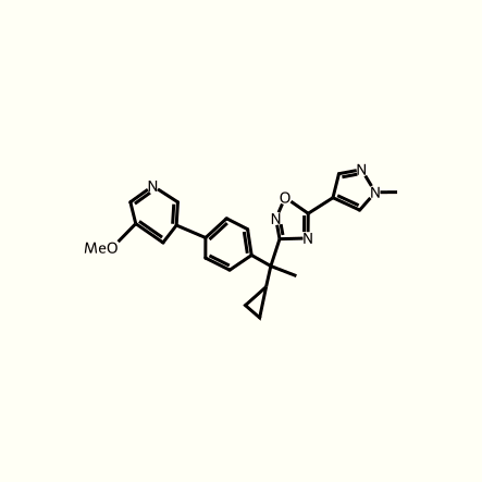 COc1cncc(-c2ccc(C(C)(c3noc(-c4cnn(C)c4)n3)C3CC3)cc2)c1